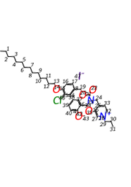 CCCCCCCCCCCCCCOc1ccc(COC(=O)N(Cc2cc[n+](CCC)cc2)C(=O)c2ccccc2OC)cc1Cl.[I-]